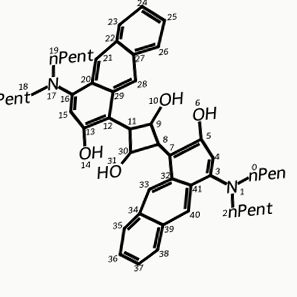 CCCCCN(CCCCC)c1cc(O)c(C2C(O)C(c3c(O)cc(N(CCCCC)CCCCC)c4cc5ccccc5cc34)C2O)c2cc3ccccc3cc12